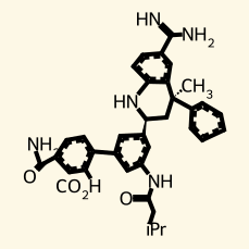 CC(C)CC(=O)Nc1cc(-c2ccc(C(N)=O)cc2C(=O)O)cc([C@@H]2C[C@](C)(c3ccccc3)c3cc(C(=N)N)ccc3N2)c1